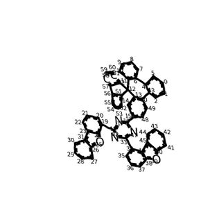 c1ccc2c(c1)-c1ccccc1C1(c3cc(-c4nc(-c5cccc6c5oc5ccccc56)nc(-c5cccc6oc7ccccc7c56)n4)ccc3-2)c2ccccc2-c2ccccc21